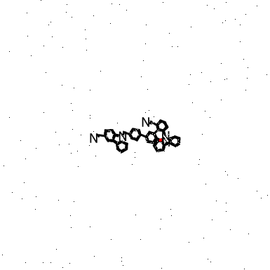 N#Cc1ccc2c(c1)c1ccccc1n2Cc1ccc(-c2ccc(C#N)c(-c3c(C#N)cccc3-n3c4ccccc4c4ccccc43)c2)cc1